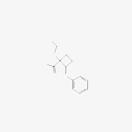 CCOC1(C(=O)O)CCC1Oc1ccccc1